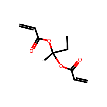 [CH2]C(CC)(OC(=O)C=C)OC(=O)C=C